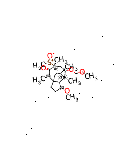 COCOC1C[C@@](C)([S+](C)[O-])C(=O)[C@H](C)C23CC[C@@H](C)[C@]1(C)C2[C@H](OC)CC3